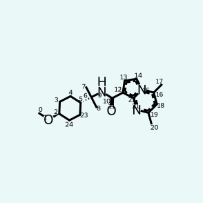 CO[C@H]1CC[C@H](C(C)(C)NC(=O)c2ccn3c(C)cc(C)nc23)CC1